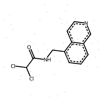 O=C(NCc1cccc2cnccc12)C(Cl)Cl